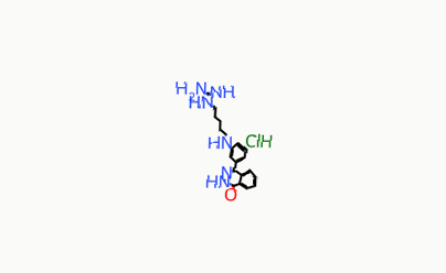 Cl.N=C(N)NCCCCCNc1cccc(-c2n[nH]c(=O)c3ccccc23)c1